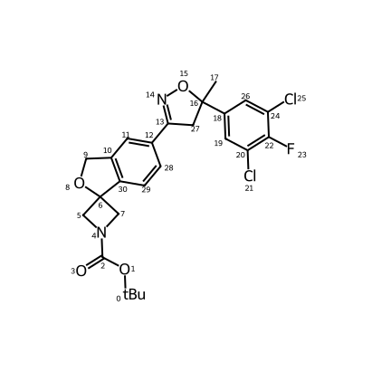 CC(C)(C)OC(=O)N1CC2(C1)OCc1cc(C3=NOC(C)(c4cc(Cl)c(F)c(Cl)c4)C3)ccc12